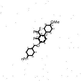 CCCC1CCC(COc2ccc(C3CCC(OC)CC3)c(C(F)F)c2F)CC1